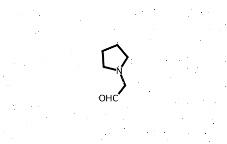 O=CCN1C[CH]CC1